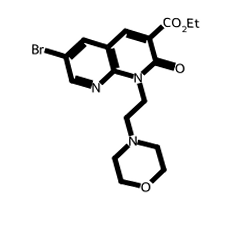 CCOC(=O)c1cc2cc(Br)cnc2n(CCN2CCOCC2)c1=O